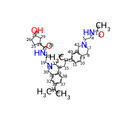 CC(=O)NCCN1CCc2ccc(C(C)CC3CN(CCNC(=O)C4CCC(O)C4)Cc4cc(C(C)C)ccc43)cc2C1